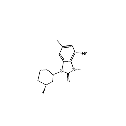 C=C1N(C)c2c(Br)cc(C)cc2N1C1CCC[C@H](C)C1